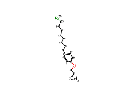 CCCOc1ccc(CCCCCCCCBr)cc1